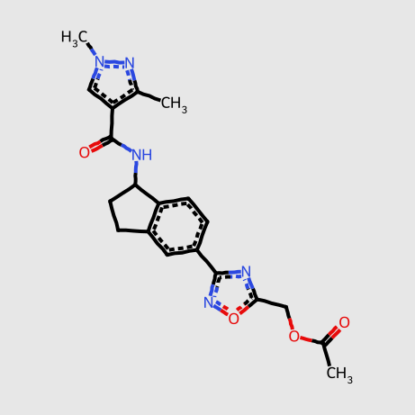 CC(=O)OCc1nc(-c2ccc3c(c2)CCC3NC(=O)c2cn(C)nc2C)no1